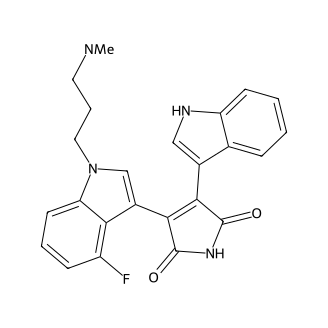 CNCCCn1cc(C2=C(c3c[nH]c4ccccc34)C(=O)NC2=O)c2c(F)cccc21